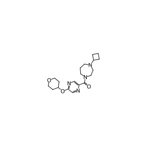 O=C(c1cnc(OC2CCOCC2)cn1)N1CCCN(C2CCC2)CC1